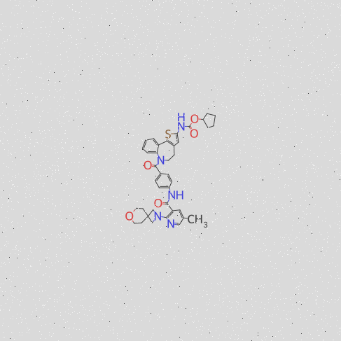 Cc1cnc(N2CC3(CCOCC3)C2)c(C(=O)Nc2ccc(C(=O)N3CCc4cc(NC(=O)OC5CCCC5)sc4-c4ccccc43)cc2)c1